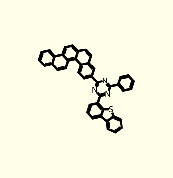 c1ccc(-c2nc(-c3ccc4c(ccc5ccc6c7ccccc7ccc6c54)c3)nc(-c3cccc4c3sc3ccccc34)n2)cc1